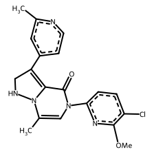 COc1nc(N2C=C(C)N3NCC(c4ccnc(C)c4)=C3C2=O)ccc1Cl